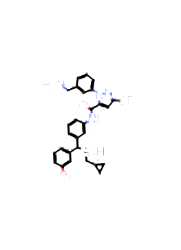 NCc1cccc(-n2nc(C(F)(F)F)cc2C(=O)Nc2cccc(C([AsH]CC3CC3)c3cccc(O)c3)c2)c1